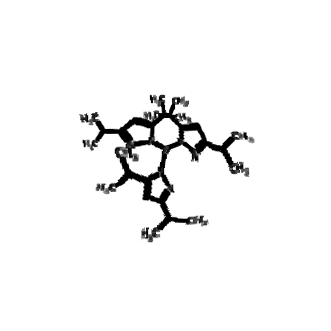 CC(C)c1cc(C(C)C)n(B(n2nc(C(C)C)cc2C(C)C)n2nc(C(C)C)cc2C(C)C)n1